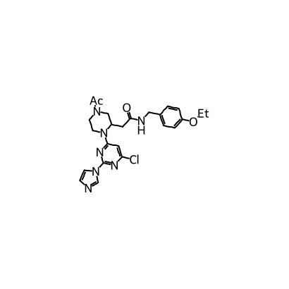 CCOc1ccc(CNC(=O)CC2CN(C(C)=O)CCN2c2cc(Cl)nc(-n3ccnc3)n2)cc1